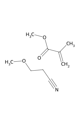 C=C(C)C(=O)OC.COCCC#N